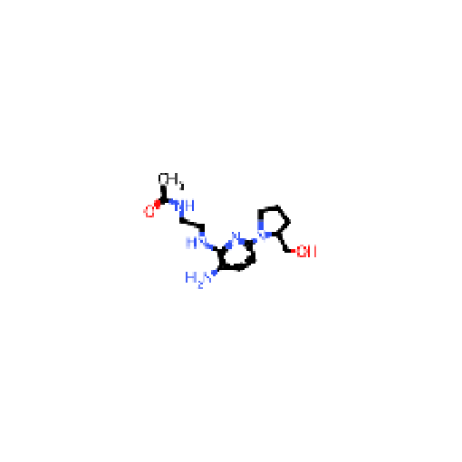 CC(=O)NCCNc1nc(N2CCCC2CO)ccc1N